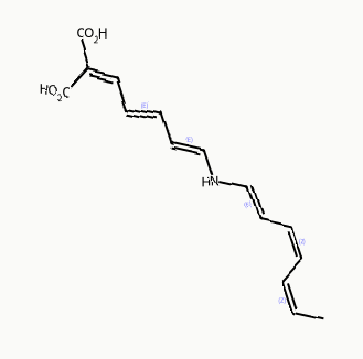 C\C=C/C=C\C=C\N/C=C/C=C/C=C(C(=O)O)C(=O)O